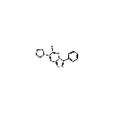 Clc1nn2c(-c3ccccc3)nnc2cc1N1CCCC1